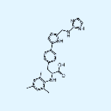 Cc1cc(C)c(NC(Cc2ccc(-c3ccc(CNc4ncc[nH]4)[nH]3)cc2)C(=O)O)c(C)c1